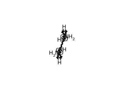 CC1(C)CC(N(N)C(=O)C(=O)NCCCCCCNC(=O)C(=O)N(N)C2CC(C)(C)NC(C)(C)C2)CC(C)(C)N1